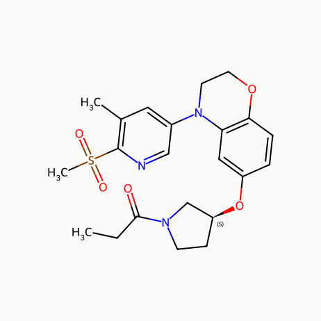 CCC(=O)N1CC[C@H](Oc2ccc3c(c2)N(c2cnc(S(C)(=O)=O)c(C)c2)CCO3)C1